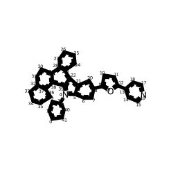 c1ccc(-n2c3ccc(-c4ccc(-c5ccncc5)o4)cc3c3c4ccccc4c4ccc5ccccc5c4c32)cc1